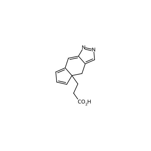 O=C(O)CCC12C=CC=C1C=C1N=NC=C1C2